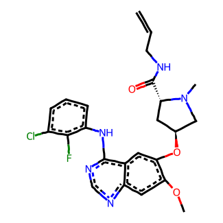 C=CCNC(=O)[C@H]1C[C@H](Oc2cc3c(Nc4cccc(Cl)c4F)ncnc3cc2OC)CN1C